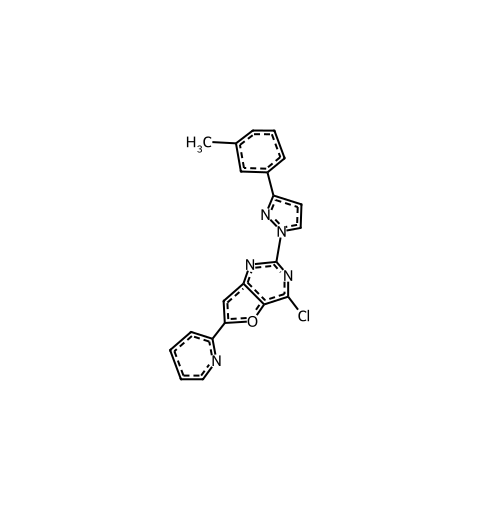 Cc1cccc(-c2ccn(-c3nc(Cl)c4oc(-c5ccccn5)cc4n3)n2)c1